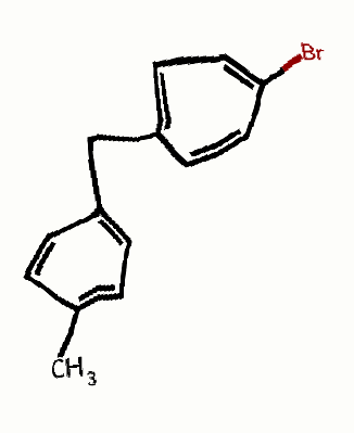 Cc1ccc(Cc2ccc(Br)cc2)cc1